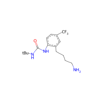 CC(C)(C)NC(=O)Nc1ccc(C(F)(F)F)cc1CCCCN